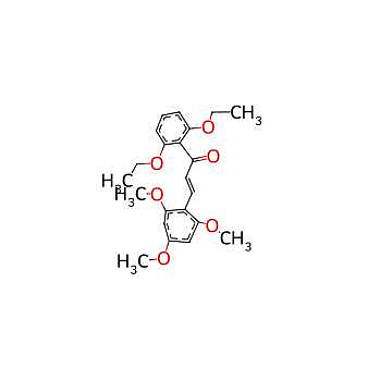 CCOc1cccc(OCC)c1C(=O)/C=C/c1c(OC)cc(OC)cc1OC